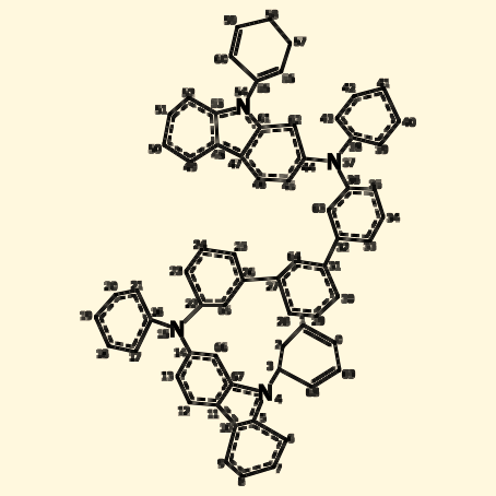 C1=CCC(n2c3ccccc3c3ccc(N(c4ccccc4)c4cccc(-c5cccc(-c6cccc(N(c7ccccc7)c7ccc8c9ccccc9n(C9=CCCC=C9)c8c7)c6)c5)c4)cc32)C=C1